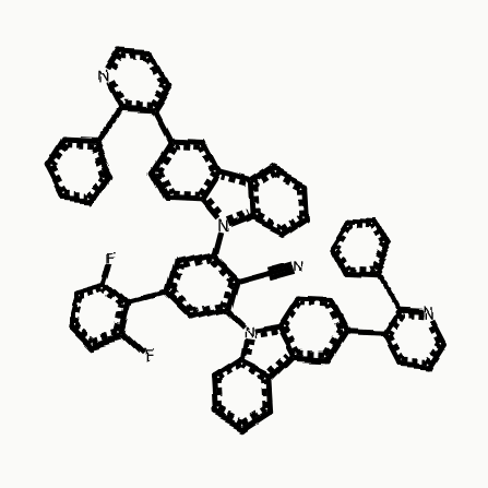 N#Cc1c(-n2c3ccccc3c3cc(-c4cccnc4-c4ccccc4)ccc32)cc(-c2c(F)cccc2F)cc1-n1c2ccccc2c2cc(-c3cccnc3-c3ccccc3)ccc21